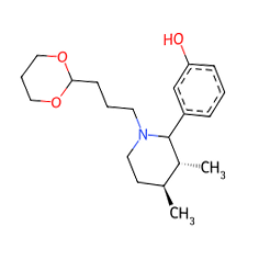 C[C@H]1CCN(CCCC2OCCCO2)C(c2cccc(O)c2)[C@@H]1C